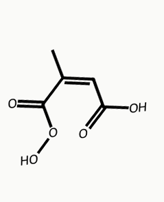 C/C(=C/C(=O)O)C(=O)OO